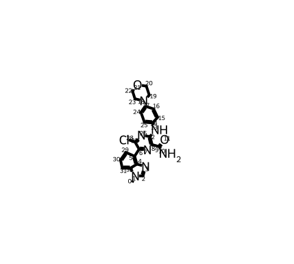 Cn1cnc2c(-c3nc(C(N)=O)c(Nc4ccc(N5CCOCC5)cc4)nc3Cl)cccc21